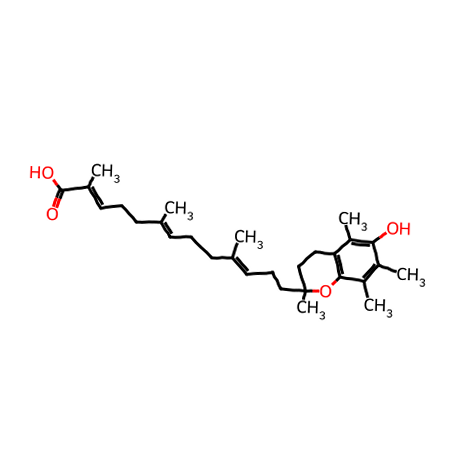 C/C(=C\CC/C(C)=C/CCC1(C)CCc2c(C)c(O)c(C)c(C)c2O1)CC/C=C(\C)C(=O)O